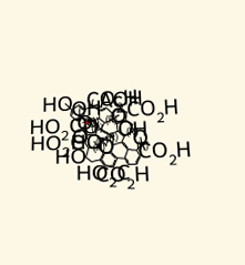 CC(=O)C1=C2C(C(=O)O)C3=CC(O)=CC4C(O)C5C6(C(=O)O)OC67C(C(=O)O)C6C(O)Cc8c(C(=O)O)cc9c%10c8[C@@]6(O)[C@@]68O[C@]6%11C6=C%12C(C2[C@]2(O[C@]342)[C@@]52O[C@]%122C78)[C@]23OC12C(O)=C(C(=O)O)C1=C3C62OC23C(=C2C9=C(C(=O)O)C=CC2[C@](C)(C(=O)O)O[C@@H]3C1)C%10%11